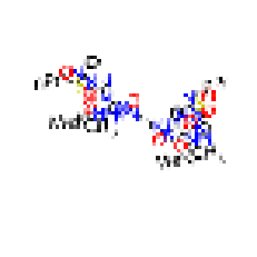 CCCC(=O)Cc1nc(-c2ccccc2)c(NC(=O)[C@@H]2CCCN2C(=O)[C@@H](NC(=O)[C@H](C)NC)C2CCN(C(=O)NCCCCNC(=O)N3CCC([C@H](NC(=O)[C@H](C)NC)C(=O)N4CCC[C@H]4C(=O)Nc4sc(CC(=O)CCC)nc4-c4ccccc4)CC3)CC2)s1